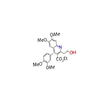 CCOC(=O)c1c(CCO)nc2cc(OC)c(OC)cc2c1-c1ccc(OC)c(OC)c1